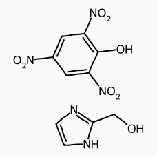 O=[N+]([O-])c1cc([N+](=O)[O-])c(O)c([N+](=O)[O-])c1.OCc1ncc[nH]1